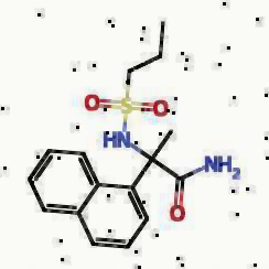 CCCS(=O)(=O)NC(C)(C(N)=O)c1cccc2ccccc12